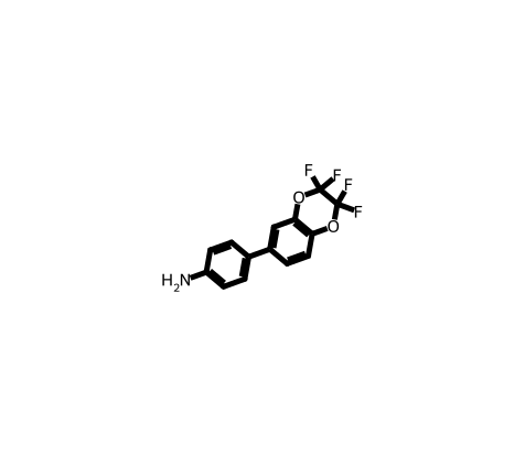 Nc1ccc(-c2ccc3c(c2)OC(F)(F)C(F)(F)O3)cc1